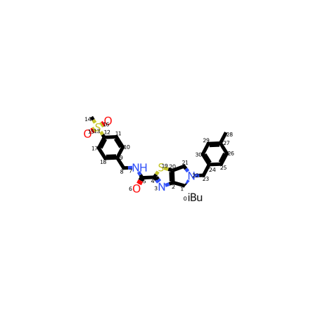 CC[C@H](C)[C@H]1c2nc(C(=O)NCc3ccc(S(C)(=O)=O)cc3)sc2CN1Cc1ccc(C)cc1